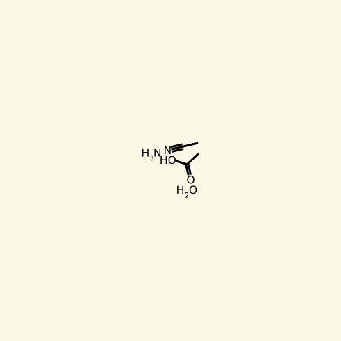 CC#N.CC(=O)O.N.O